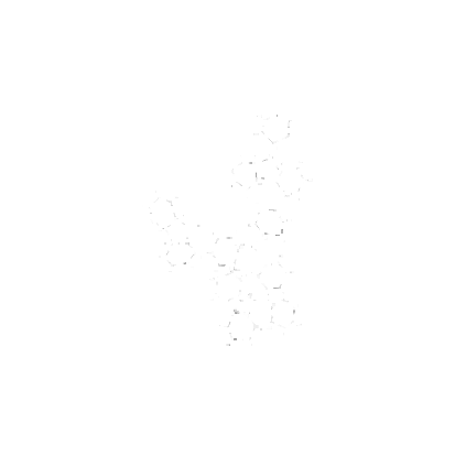 c1ccc(-n2c3ccccc3c3c(-c4ccc(N(c5ccc(-c6cccc7c6sc6ccccc67)cc5)c5cccc6c5-c5ccccc5C65c6ccccc6-c6ccccc65)cc4)cccc32)cc1